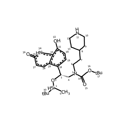 C[SiH](O[C@@H](CN(CCC1CCNCC1)C(=O)OC(C)(C)C)c1ccc(O)c2[nH]c(=O)ccc12)C(C)(C)C